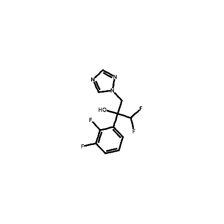 OC(Cn1cncn1)(c1cccc(F)c1F)C(F)F